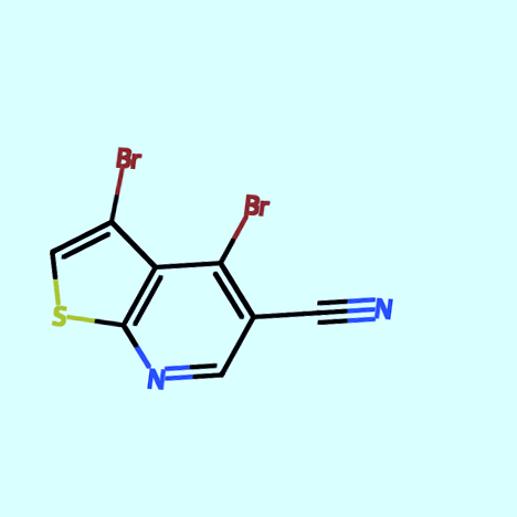 N#Cc1cnc2scc(Br)c2c1Br